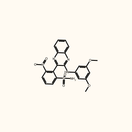 COc1cc(Nc2nc3ccccc3nc2-c2c([N+](=O)[O-])cccc2S(N)(=O)=O)cc(OC)c1